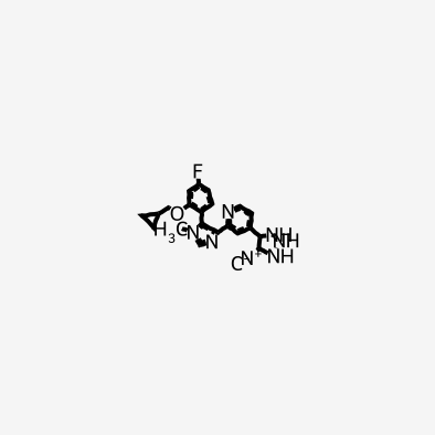 [C-]#[N+]C1NNNC1c1ccnc(-c2ncn(C)c2-c2ccc(F)cc2OCC2CC2)c1